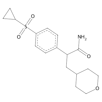 NC(=O)C(CC1CCOCC1)c1ccc(S(=O)(=O)C2CC2)cc1